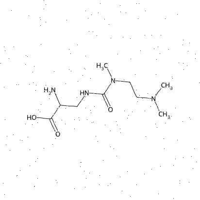 CN(C)CCN(C)C(=O)NCC(N)C(=O)O